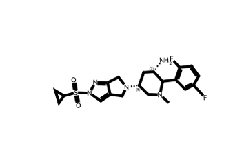 CN1C[C@H](N2Cc3cn(S(=O)(=O)C4CC4)nc3C2)C[C@H](N)C1c1cc(F)ccc1F